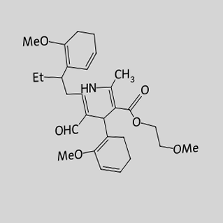 CCC(CC1=C(C=O)C(C2=C(OC)C=CCC2)C(C(=O)OCCOC)=C(C)N1)C1=C(OC)CCC=C1